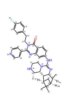 C[C@@H]1C(/N=C(/Nc2ccc3c(=O)n(CCc4ccc(F)cc4)c(-c4ccncc4)nc3c2)N2CCN[C@@H](C)C2)C[C@H]2C[C@@H]1C2(C)C